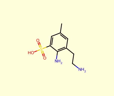 Cc1cc(CCN)c(N)c(S(=O)(=O)O)c1